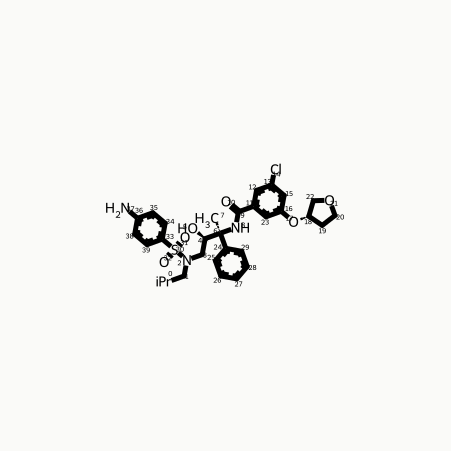 CC(C)CN(C[C@@H](O)[C@@](C)(NC(=O)c1cc(Cl)cc(O[C@H]2CCOC2)c1)c1ccccc1)S(=O)(=O)c1ccc(N)cc1